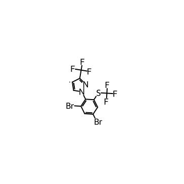 FC(F)(F)Sc1cc(Br)cc(Br)c1-n1c[c]c(C(F)(F)F)n1